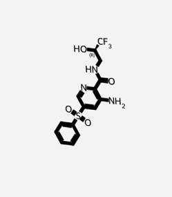 Nc1cc(S(=O)(=O)c2ccccc2)cnc1C(=O)NC[C@@H](O)C(F)(F)F